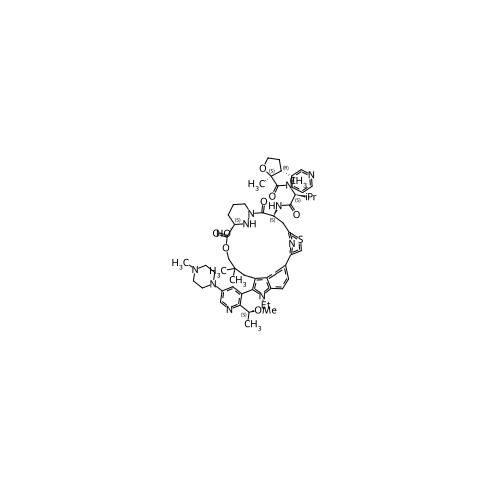 CCn1c(-c2cc(N3CCN(C)CC3)cnc2[C@H](C)OC)c2c3cc(ccc31)-c1csc(n1)C[C@H](NC(=O)[C@H](C(C)C)N(C)C(=O)[C@@]1(C)OCC[C@@H]1c1cccnc1)C(=O)N1CCC[C@@](O)(N1)C(=O)OCC(C)(C)C2